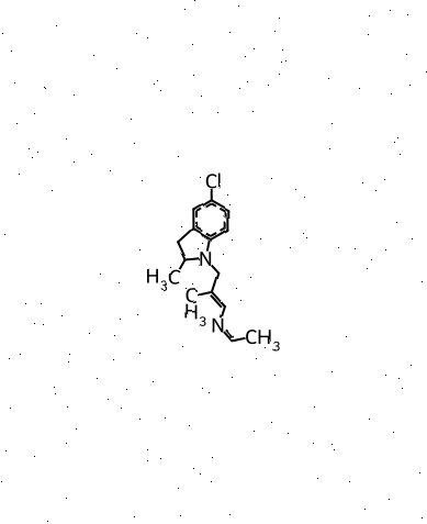 C/C=N\C=C(/C)CN1c2ccc(Cl)cc2CC1C